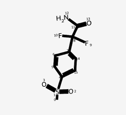 CS(=O)(=O)c1ccc(C(F)(F)C(N)=O)cc1